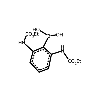 CCOC(=O)Nc1cccc(NC(=O)OCC)c1B(O)O